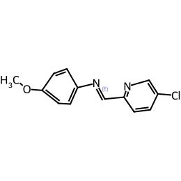 COc1ccc(/N=C/c2ccc(Cl)cn2)cc1